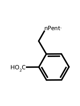 CCCC[CH]Cc1ccccc1C(=O)O